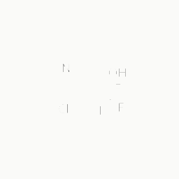 Oc1cc2nccc(Cl)c2cc1C(F)(F)F